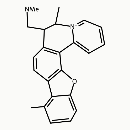 CNCC1c2ccc3c(oc4cccc(C)c43)c2-c2cccc[n+]2C1C